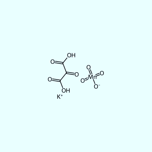 O=C(O)C(=O)C(=O)O.[K+].[O]=[Mn](=[O])(=[O])[O-]